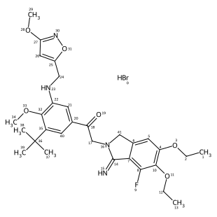 Br.CCOc1cc2c(c(F)c1OCC)C(=N)N(CC(=O)c1cc(NCc3cc(OC)no3)c(OC)c(C(C)(C)C)c1)C2